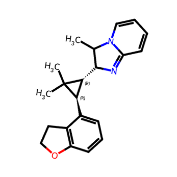 CC1C([C@@H]2[C@@H](c3cccc4c3CCO4)C2(C)C)N=C2C=CC=CN21